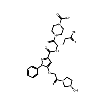 O=C(O)CC[C@H](NC(=O)c1cc(OCC(=O)N2CC[C@@H](O)C2)n(-c2ccccc2)n1)C(=O)N1CCN(C(=O)O)CC1